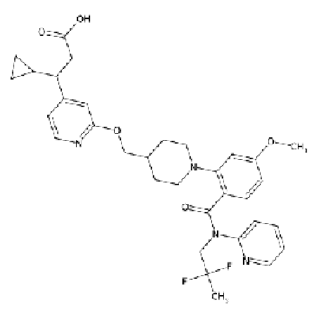 COc1ccc(C(=O)N(CC(C)(F)F)c2ccccn2)c(N2CCC(COc3cc(C(CC(=O)O)C4CC4)ccn3)CC2)c1